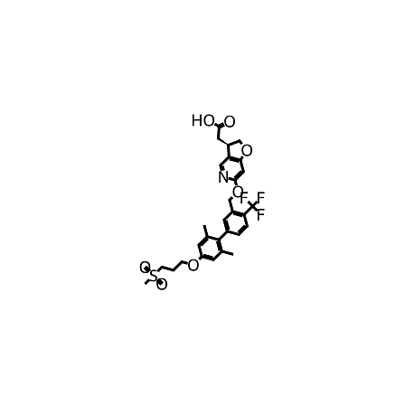 Cc1cc(OCCCS(C)(=O)=O)cc(C)c1-c1ccc(C(F)(F)F)c(COc2cc3c(cn2)[C@@H](CC(=O)O)CO3)c1